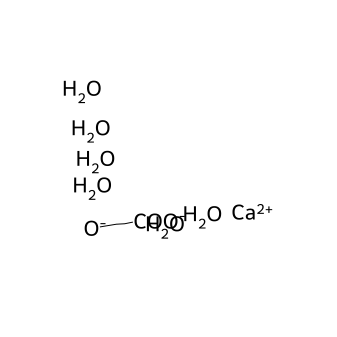 O.O.O.O.O.O.O=C([O-])[O-].[Ca+2]